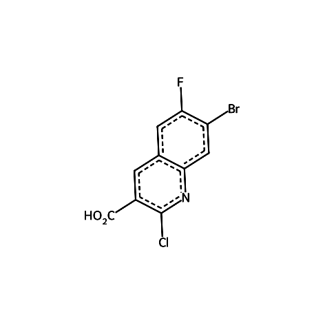 O=C(O)c1cc2cc(F)c(Br)cc2nc1Cl